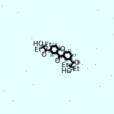 CCC(O)(CC)C(=O)c1ccc2oc3ccc(C(=O)C(O)(CC)CC)cc3c(=O)c2c1